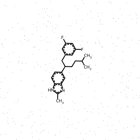 Cc1nc2cc(C(CCC(C)C)Cc3cc(F)cc(F)c3)ccc2[nH]1